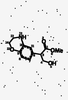 COC(=O)C(CO)c1ccc2c(c1)NCCO2